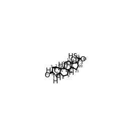 C[C@]12C=CC(=O)N[C@@H]1CC[C@@H]1[C@@H]2CC[C@]2(C)[C@@H](C(=O)S)CC[C@@H]12